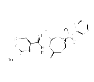 CC(C)CC(NC(=O)OC(C)(C)C)C(=O)NC1C(C)CCN(S(=O)(=O)c2ccccn2)C[C@@H]1O